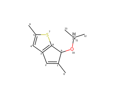 CC1=Cc2cc(C)sc2C1O[SiH](C)C